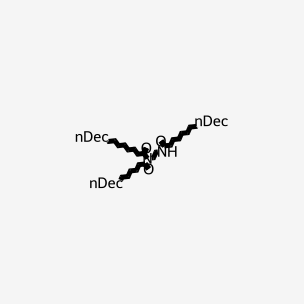 CCCCCCCCCCCCCCCCCC(=O)NCCN(C(=O)CCCCCCCCCCCCCCC)C(=O)CCCCCCCCCCCCCCCCC